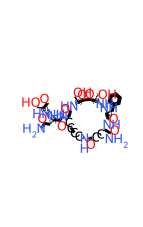 NC(=O)C[C@H](NN[C@H](C=O)CO)C(=O)NC1CCCCNC(=O)CCC(C(N)=O)NC(=O)[C@H](Cc2ccccc2)NN[C@@H](CO)C(=O)C(=O)[C@H](CO)NC1=O